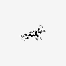 CCCC([O][Cu][O]C(CCC)N(CC)CC)N(CC)CC